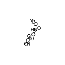 N#Cc1ccc(S(=O)(=O)c2ccc(CNC(=O)c3ccc4ccncc4c3)cc2)cc1